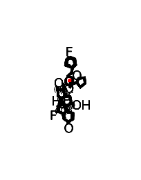 C[C@@H]1C[C@H]2[C@@H]3C[C@H](F)C4=CC(=O)C=C[C@]4(C)[C@@]3(F)[C@@H](O)C[C@]2(C)[C@@]1(OC(=O)C1CCCC1)C(=O)OCC(=O)c1ccc(F)cc1